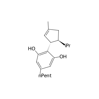 CCCCCc1cc(O)c([C@@H]2C=C(C)C[C@H]2C(C)C)c(O)c1